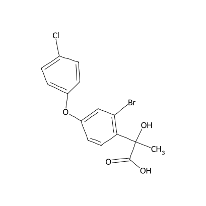 CC(O)(C(=O)O)c1ccc(Oc2ccc(Cl)cc2)cc1Br